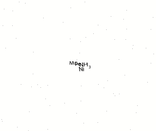 N.[Fe].[Mo].[Ni]